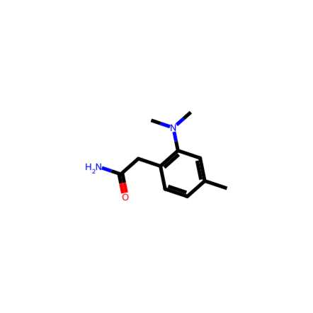 Cc1ccc(CC(N)=O)c(N(C)C)c1